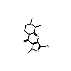 CC(C)c1nn(C)c2c(=O)n3c(nc12)C(C)N(C)CC3